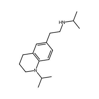 CC(C)NCCc1ccc2c(c1)CCCN2C(C)C